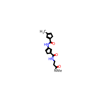 CNC(=O)CCNC(=O)C1=CC(NC(=O)C2=CC(C)=CC2)=CC1